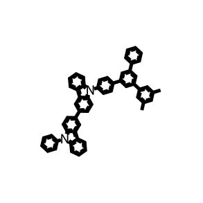 Cc1cc(C)cc(-c2cc(-c3ccccc3)cc(-c3ccc(-n4c5ccccc5c5cc(-c6ccc7c(c6)c6ccccc6n7-c6ccccc6)ccc54)cc3)c2)c1